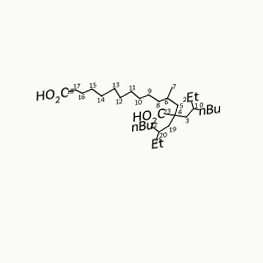 CCCCC(CC)CC(CC(C)CCCCCCCCCCC(=O)O)(CC(CC)CCCC)C(=O)O